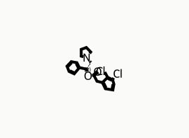 O=C(Cc1cccc(Cl)c1Cl)O[C@@H](CN1CCCC1)c1ccccc1